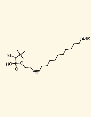 CCCCCCCCCCCCCCCCCCCC/C=C\CCOP(=O)(O)C(CC)[N+](C)(C)C